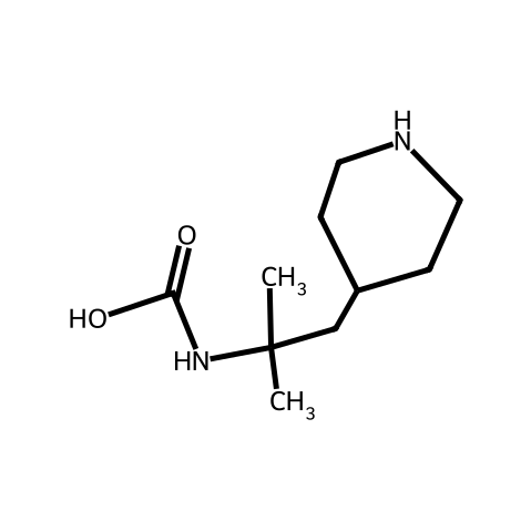 CC(C)(CC1CCNCC1)NC(=O)O